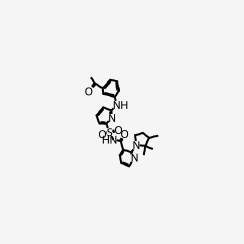 CC(=O)c1cccc(Nc2cccc(S(=O)(=O)NC(=O)c3cccnc3N3CCC(C)C3(C)C)n2)c1